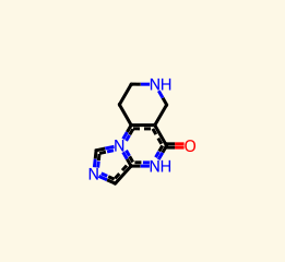 O=c1[nH]c2cncn2c2c1CNCC2